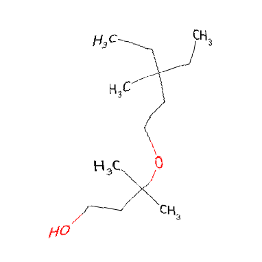 CCC(C)(CC)CCOC(C)(C)CCO